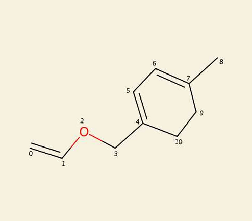 C=COCC1=CC=C(C)CC1